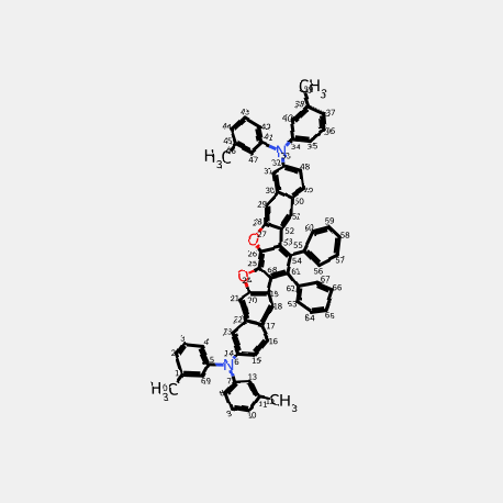 Cc1cccc(N(c2cccc(C)c2)c2ccc3cc4c(cc3c2)oc2c3oc5cc6cc(N(c7cccc(C)c7)c7cccc(C)c7)ccc6cc5c3c(-c3ccccc3)c(-c3ccccc3)c42)c1